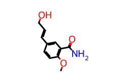 COc1ccc(C=CCO)cc1C(N)=O